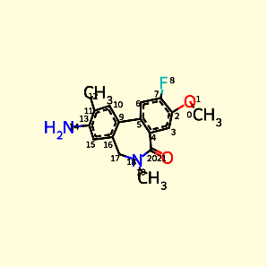 COc1cc2c(cc1F)-c1cc(C)c(N)cc1CN(C)C2=O